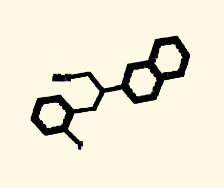 CNCC(Cc1ccccc1F)c1ccc2ccccc2c1